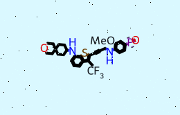 COc1cc(P(C)(C)=O)ccc1NCC#Cc1sc2c(NC3CCC4(CCOCC4)CC3)cccc2c1CC(F)(F)F